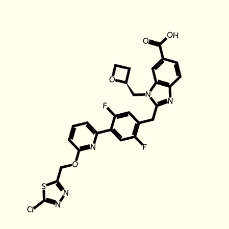 O=C(O)c1ccc2nc(Cc3cc(F)c(-c4cccc(OCc5nnc(Cl)s5)n4)cc3F)n(C[C@@H]3CCO3)c2c1